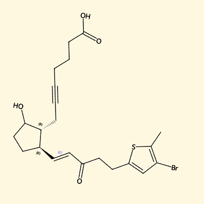 Cc1sc(CCC(=O)/C=C/[C@H]2CCC(O)[C@@H]2CC#CCCCC(=O)O)cc1Br